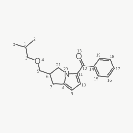 CC(C)COCC1Cc2ccc(C(=O)c3ccccc3)n2C1